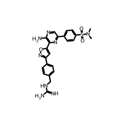 CN(C)S(=O)(=O)c1ccc(-c2cnc(N)c(-c3cc(-c4ccc(CNC(=N)N)cc4)no3)n2)cc1